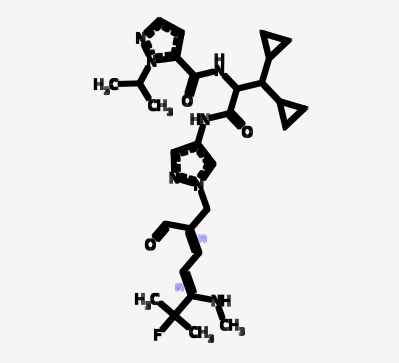 CN/C(=C\C=C(/C=O)Cn1cc(NC(=O)C(NC(=O)c2ccnn2C(C)C)C(C2CC2)C2CC2)cn1)C(C)(C)F